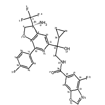 N[C@@]1(C(F)(F)F)COc2c1cc(C(O)(CNC(=O)c1cc(F)c3ncoc3c1)C1CC1)nc2-c1ccc(F)cc1